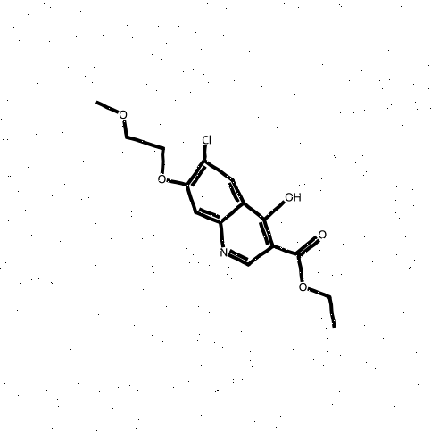 CCOC(=O)c1cnc2cc(OCCOC)c(Cl)cc2c1O